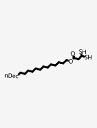 CCCCCCCCCCCCCCCCCCCCCCCOC(=O)CC(S)S